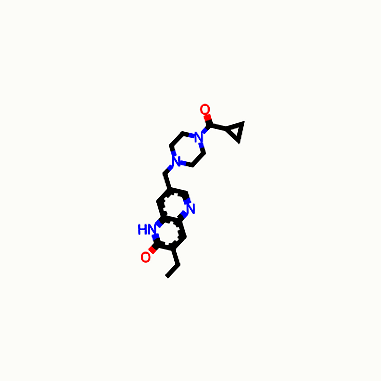 CCc1cc2ncc(CN3CCN(C(=O)C4CC4)CC3)cc2[nH]c1=O